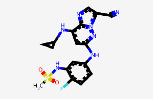 CS(=O)(=O)Nc1cc(Nc2cc(NC3CC3)c3ncc(C#N)n3n2)ccc1F